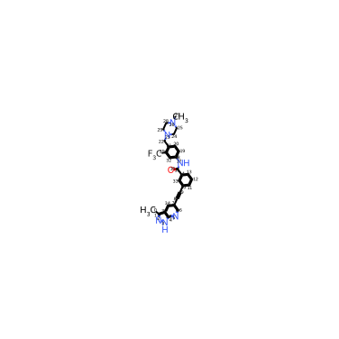 Cc1n[nH]c2ncc(C#Cc3cccc(C(=O)Nc4ccc(CN5CCN(C)CC5)c(C(F)(F)F)c4)c3)cc12